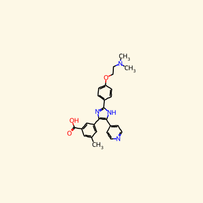 Cc1cc(C(=O)O)cc(-c2nc(-c3ccc(OCCN(C)C)cc3)[nH]c2-c2ccncc2)c1